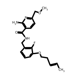 CC=CCCOc1cccc(CNC(=O)c2ccc(COC)nc2N)c1F